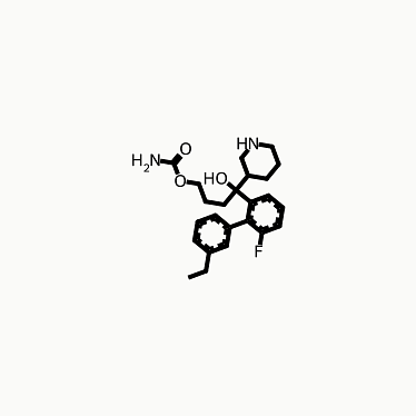 CCc1cccc(-c2c(F)cccc2C(O)(CCCOC(N)=O)C2CCCNC2)c1